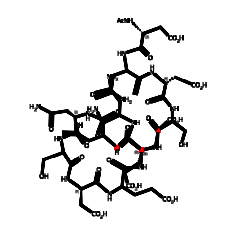 C=C(N)CC(NC(=O)[C@@H](CC(=O)O)NC(C)=O)C(=C)N[C@H](CC(=O)O)C(=O)NC(CO)C(=O)N[C@H](CCC(=O)O)C(=O)NC(CC(=C)O)C(=O)N[C@H](CC(N)=O)C(=O)NC(CO)C(=O)N[C@H](CC(=O)O)C(=O)NC(CCC(=O)O)C(=O)N[C@H](CCC(=O)O)C(=O)NC(CC(N)=O)C(N)=O